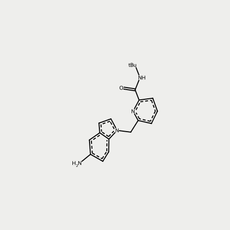 CC(C)(C)NC(=O)c1cccc(Cn2ccc3cc(N)ccc32)n1